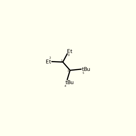 [CH2]CC(CC)C(C(C)(C)C)C(C)(C)C